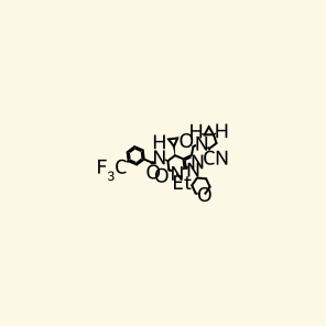 CCN1C(=O)[C@@H](NC(=O)c2cccc(C(F)(F)F)c2)[C@@H](C2CC2)c2c(C(=O)N3[C@H](C#N)C[C@H]4C[C@H]43)nn(C3CCOCC3)c21